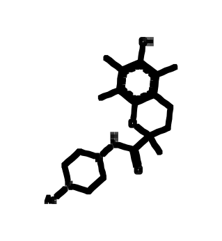 CC(=O)N1CCN(NC(=O)C2(C)CCc3c(C)c(O)c(C)c(C)c3O2)CC1